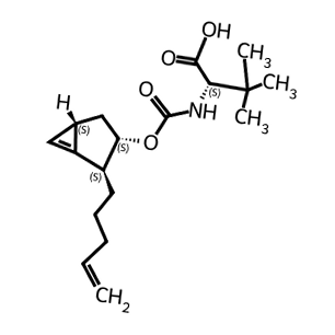 C=CCCC[C@H]1C2=C[C@@H]2C[C@@H]1OC(=O)N[C@H](C(=O)O)C(C)(C)C